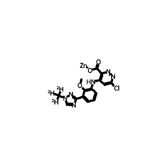 [2H]C([2H])([2H])n1cnc(-c2cccc(Nc3cc(Cl)nnc3C(=O)[O][Zn])c2OC)n1